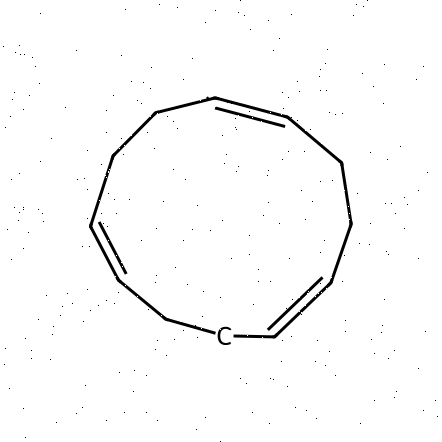 [C]1=CCCC=CCCC=CCC1